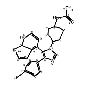 CC(=O)NC1CCC(n2cnc(-c3ccc(F)cc3)c2C2=C3C=CNC3NC=C2)CC1